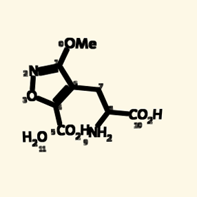 COc1noc(C(=O)O)c1CC(N)C(=O)O.O